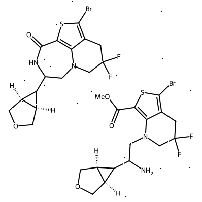 COC(=O)c1sc(Br)c2c1N(CC(N)C1[C@H]3COC[C@@H]13)CC(F)(F)C2.O=C1NC(C2[C@H]3COC[C@@H]23)CN2CC(F)(F)Cc3c(Br)sc1c32